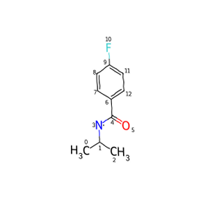 CC(C)[N]C(=O)c1ccc(F)cc1